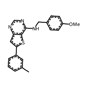 COc1ccc(CNc2ncnc3cc(-c4cccc(C)c4)sc23)cc1